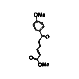 COC(=O)C=CC=CC(=O)c1ccc(OC)cc1